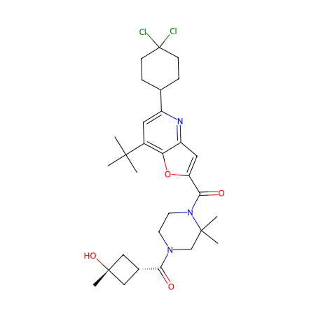 CC(C)(C)c1cc(C2CCC(Cl)(Cl)CC2)nc2cc(C(=O)N3CCN(C(=O)[C@H]4C[C@@](C)(O)C4)CC3(C)C)oc12